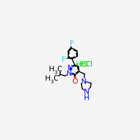 CC(C)Cn1nc(-c2ccc(F)cc2F)cc(CN2CCNCC2)c1=O.Cl.Cl